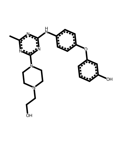 Cc1nc(Nc2ccc(Oc3cccc(O)c3)cc2)nc(N2CCN(CCO)CC2)n1